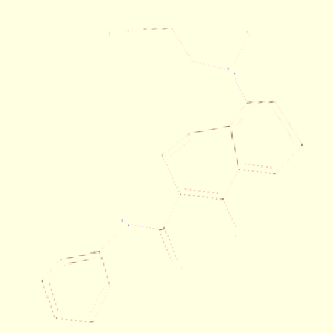 CCCCCCCCCCCCN(C(C)=O)c1cccc2c(O)c(C(=O)Nc3ccccc3)ccc12